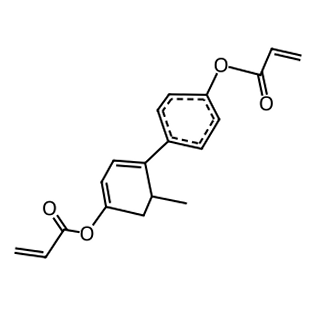 C=CC(=O)OC1=CC=C(c2ccc(OC(=O)C=C)cc2)C(C)C1